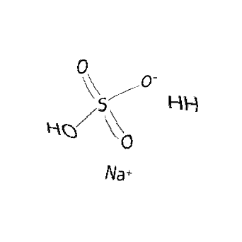 O=S(=O)([O-])O.[HH].[Na+]